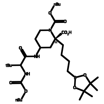 CCCCOC(=O)NC(C(=O)NC1CCN(C(=O)OCCCC)[C@@](CCCCB2OC(C)(C)C(C)(C)O2)(C(=O)O)C1)C(C)(C)C